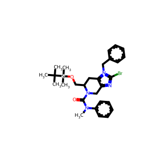 CN(C(=O)N1Cc2nc(Br)n(Cc3ccccc3)c2CC1CO[Si](C)(C)C(C)(C)C)c1ccccc1